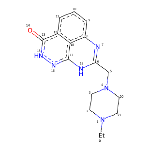 CCN1CCN(CC2=Nc3cccc4c(=O)[nH]nc(c34)N2)CC1